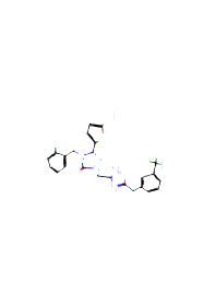 O=c1n(Cc2noc(Cc3cccc(C(F)(F)F)c3)n2)nc(-c2ccc(Cl)s2)n1Cc1ccccc1F